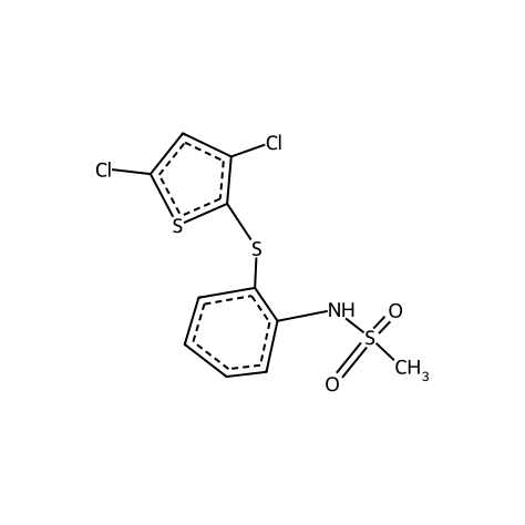 CS(=O)(=O)Nc1ccccc1Sc1sc(Cl)cc1Cl